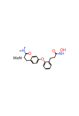 CN[C@@H](Cc1ccc(Oc2ccccc2CCC(=O)NO)cc1)C(=O)N(C)C